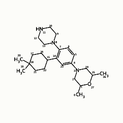 CC1CN(c2ccc(N3CCNCC3)c(C3CCC(C)(C)CC3)c2)CC(C)O1